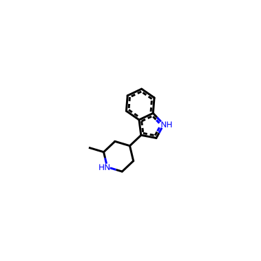 CC1CC(c2c[nH]c3ccccc23)CCN1